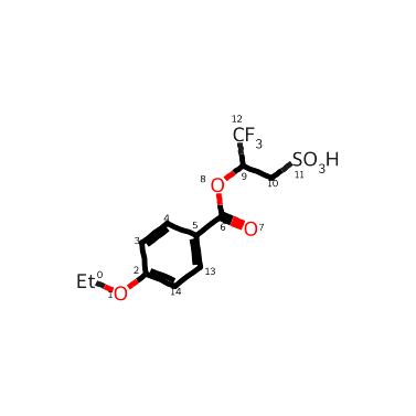 CCOc1ccc(C(=O)OC(CS(=O)(=O)O)C(F)(F)F)cc1